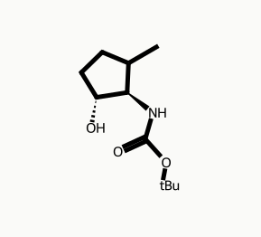 CC1CC[C@@H](O)[C@@H]1NC(=O)OC(C)(C)C